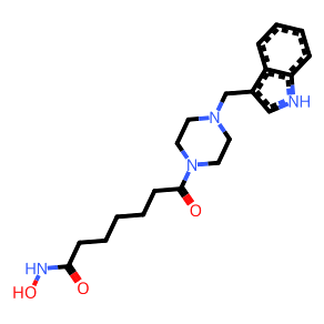 O=C(CCCCCC(=O)N1CCN(Cc2c[nH]c3ccccc23)CC1)NO